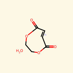 O.O=C1/C=C/C(=O)OCCO1